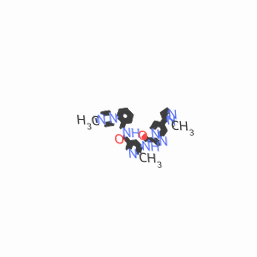 Cc1ncc(C(=O)NCc2ccccc2N2CCN(C)CC2)cc1NC(=O)c1cnc2cc(-c3ccnn3C)ccn12